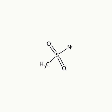 CS([N])(=O)=O